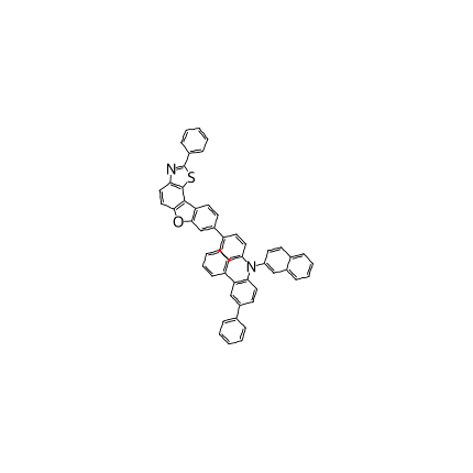 c1ccc(-c2ccc(N(c3ccc(-c4ccc5c(c4)oc4ccc6nc(-c7ccccc7)sc6c45)cc3)c3ccc4ccccc4c3)c(-c3ccccc3)c2)cc1